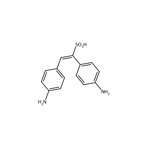 Nc1ccc(C=C(c2ccc(N)cc2)S(=O)(=O)O)cc1